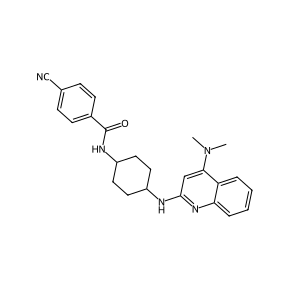 CN(C)c1cc(NC2CCC(NC(=O)c3ccc(C#N)cc3)CC2)nc2ccccc12